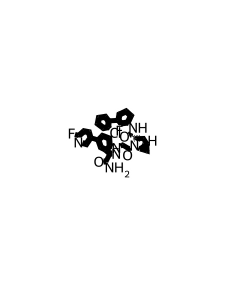 NC(=O)c1nn(CC(=O)N2C3C[C@@H]3C[C@H]2C(=O)Nc2cccc(-c3ccccc3Cl)c2F)c2ccc(-c3ccc(F)nc3)cc12